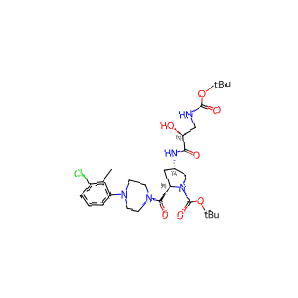 Cc1c(Cl)cccc1N1CCN(C(=O)[C@H]2C[C@H](NC(=O)[C@@H](O)CNC(=O)OC(C)(C)C)CN2C(=O)OC(C)(C)C)CC1